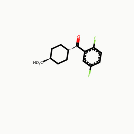 O=C(O)[C@H]1CC[C@H](C(=O)c2cc(F)ccc2F)CC1